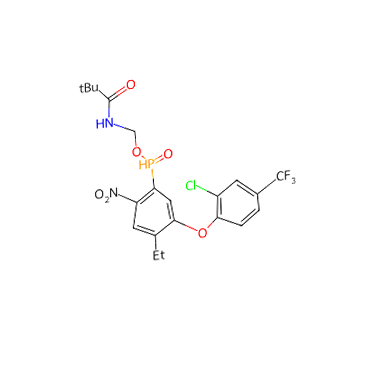 CCc1cc([N+](=O)[O-])c([PH](=O)OCNC(=O)C(C)(C)C)cc1Oc1ccc(C(F)(F)F)cc1Cl